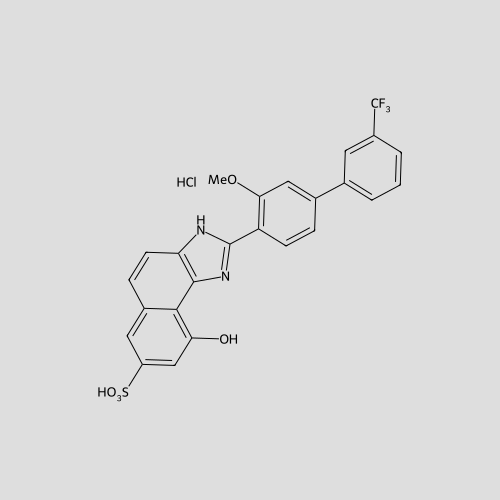 COc1cc(-c2cccc(C(F)(F)F)c2)ccc1-c1nc2c(ccc3cc(S(=O)(=O)O)cc(O)c32)[nH]1.Cl